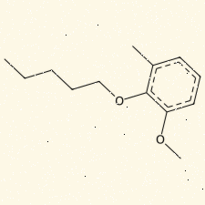 CCCCCOc1c(C)cccc1OC